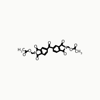 CC(=O)OCN1C(=O)c2ccc(C(=O)c3ccc4c(c3)C(=O)N(COC(C)=O)C4=O)cc2C1=O